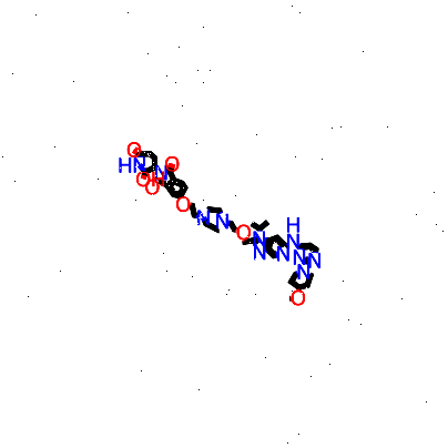 COC1CCN(c2nccc(Nc3cc4c(cn3)nc(COCCN3CCN(CCOc5ccc6c(c5)C(=O)N(C5CCC(=O)NC5O)C6=O)CC3)n4C(C)C)n2)CC1